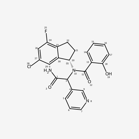 NC(=O)C(c1cccnc1)N(C(=O)c1ccccc1O)[C@H]1CCc2c(F)cc(Cl)cc21